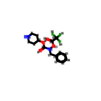 O=C(OC1CCNCC1)N(Cc1ccccc1)OC(=O)C(F)(F)F